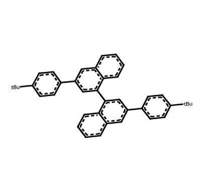 CC(C)(C)c1ccc(-c2cc(-c3cc(-c4ccc(C(C)(C)C)cc4)cc4ccccc34)c3ccccc3c2)cc1